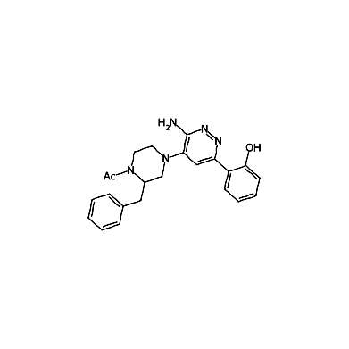 CC(=O)N1CCN(c2cc(-c3ccccc3O)nnc2N)CC1Cc1ccccc1